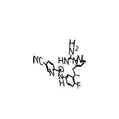 C[C@H](Cc1ccnn1C(=N)N)c1cc(NC(=O)c2ccc(C#N)cn2)ccc1F